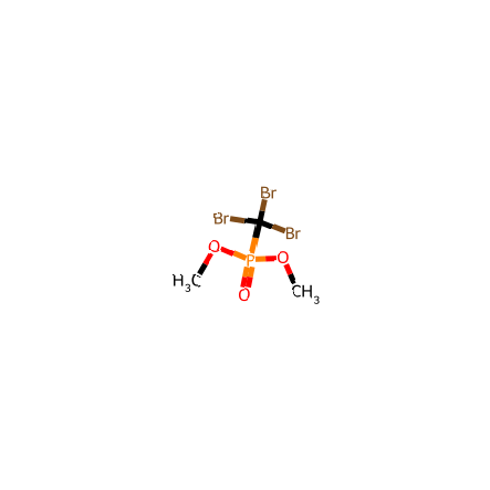 COP(=O)(OC)C(Br)(Br)Br